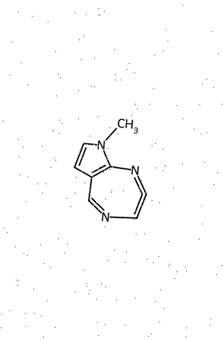 Cn1ccc2c1N=C=CN=C2